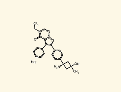 C[C@]1(O)C[C@@](N)(c2ccc(-c3sc4ncn(CC(F)(F)F)c(=O)c4c3-c3ccccc3)cc2)C1.Cl